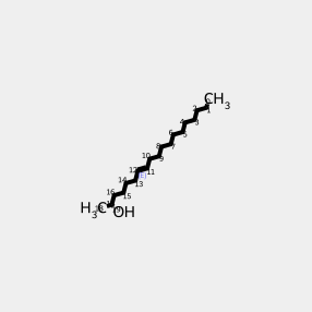 CCCCCCCCCCC/C=C/CCCCC(C)O